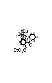 CCOC(=O)Cc1ccccc1C(=O)N1CCCC[C@H]1CO[Si](C)(C)C(C)(C)C